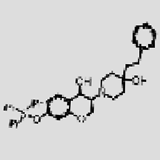 CC(C)[Si](Oc1ccc2c(c1)OCC(N1CCC(O)(CCc3ccccc3)CC1)C2O)(C(C)C)C(C)C